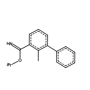 Cc1c(C(=N)OC(C)C)cccc1-c1ccccc1